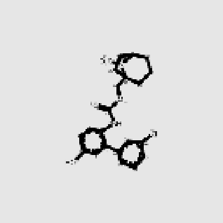 O=C(Nc1ccc(O)cc1-c1cccc(Cl)c1)OCC12CCCC(CC1)N2C(=O)O